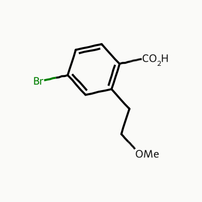 COCCc1cc(Br)ccc1C(=O)O